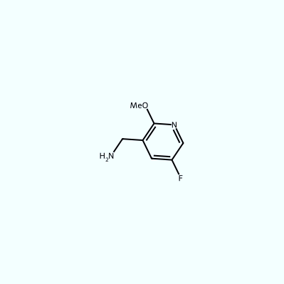 COc1ncc(F)cc1CN